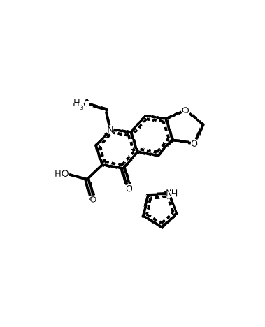 CCn1cc(C(=O)O)c(=O)c2cc3c(cc21)OCO3.c1cc[nH]c1